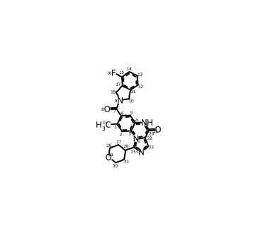 Cc1cc2c(cc1C(=O)N1Cc3cccc(F)c3C1)[nH]c(=O)c1cnc(C3CCOCC3)n12